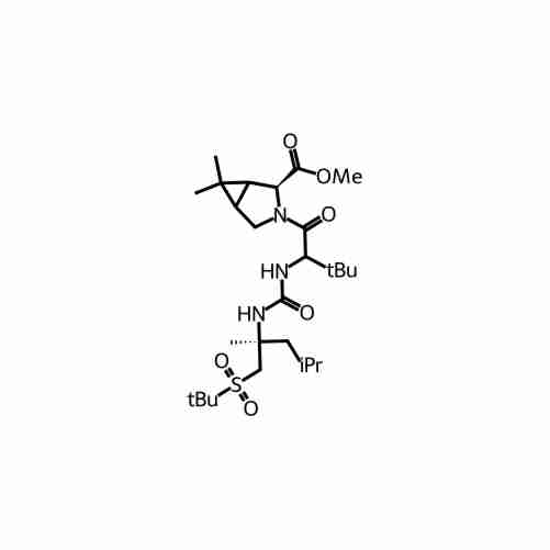 COC(=O)[C@@H]1C2C(CN1C(=O)C(NC(=O)N[C@@](C)(CC(C)C)CS(=O)(=O)C(C)(C)C)C(C)(C)C)C2(C)C